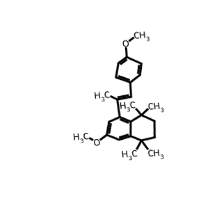 COc1ccc(C=C(C)c2cc(OC)cc3c2C(C)(C)CCC3(C)C)cc1